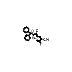 CCc1c(C(O)(c2ccccc2)c2ccccc2)nn2cc(F)c(C#N)cc12